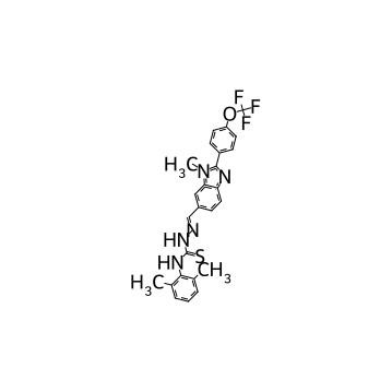 Cc1cccc(C)c1NC(=S)N/N=C/c1ccc2nc(-c3ccc(OC(F)(F)F)cc3)n(C)c2c1